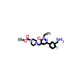 CC(C)Cn1nc(-c2ccc(F)c(CN)c2)cc(CN2CCN(C(=O)OC(C)(C)C)CC2)c1=O